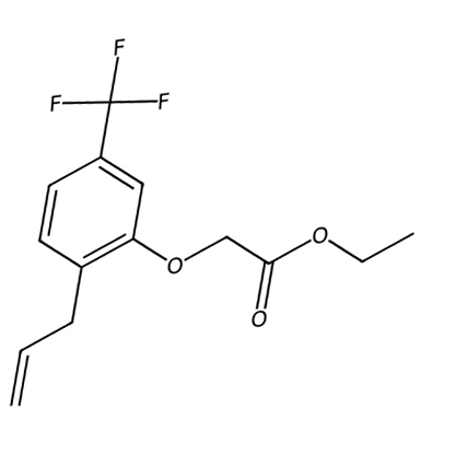 C=CCc1ccc(C(F)(F)F)cc1OCC(=O)OCC